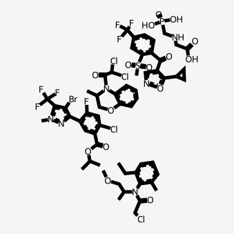 CC(C)OC(=O)c1cc(-c2nn(C)c(C(F)(F)F)c2Br)c(F)cc1Cl.CC1COc2ccccc2N1C(=O)C(Cl)Cl.CCc1cccc(C)c1N(C(=O)CCl)C(C)COC.CS(=O)(=O)c1cc(C(F)(F)F)ccc1C(=O)c1cnoc1C1CC1.O=C(O)CNCP(=O)(O)O